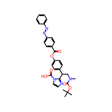 CN(CC(c1ccc(OC(=O)c2ccc(N=Nc3ccccc3)cc2)cc1)c1nccn1C(=O)O)C(=O)OC(C)(C)C